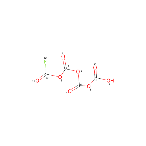 O=C(O)OC(=O)OC(=O)OC(=O)F